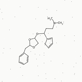 CN(C)CCC(OC1COC(Cc2ccccc2)O1)c1cccs1